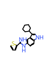 N=C(Nc1ccc2[nH]cc(C3CCCCC3)c2c1)c1cccs1